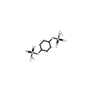 O=S(=O)(OC1CCC(OS(=O)(=O)C(F)(F)F)CC1)C(F)(F)F